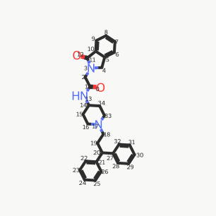 O=C(CN1Cc2ccccc2C1=O)NC1CCN(CCC(c2ccccc2)c2ccccc2)CC1